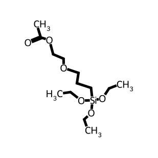 CCO[Si](CCCOCCOC(C)=O)(OCC)OCC